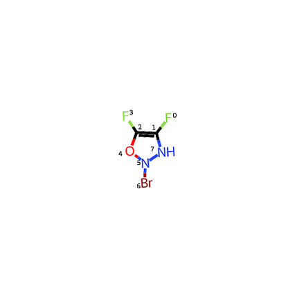 FC1=C(F)ON(Br)N1